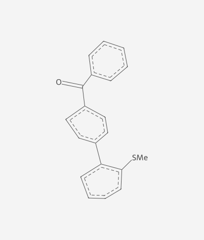 CSc1ccccc1-c1ccc(C(=O)c2ccccc2)cc1